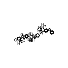 [2H]C1([2H])N(CC2CCC(n3nc(-c4ccc(Oc5ccccc5)cc4)c4c(N)ncnc43)CC2)C([2H])([2H])C([2H])([2H])N(c2ccc3c(c2)C(=O)N(C2CCC(=O)NC2=O)C3=O)C1([2H])[2H]